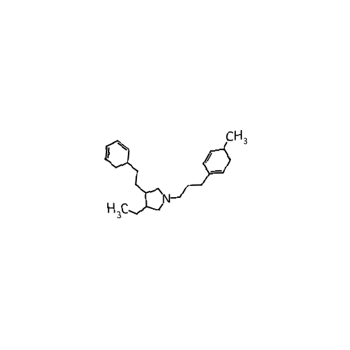 CCC1CN(CCCC2=CCC(C)C=C2)CC1CCC1C=CC=CC1